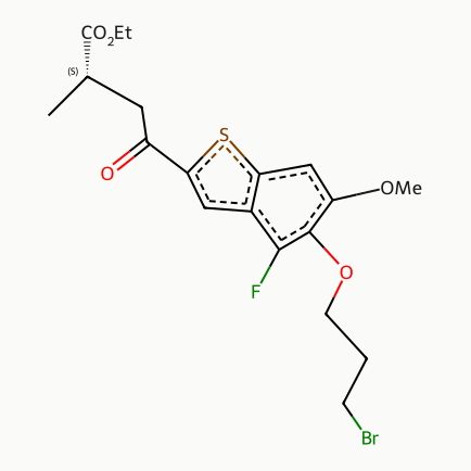 CCOC(=O)[C@@H](C)CC(=O)c1cc2c(F)c(OCCCBr)c(OC)cc2s1